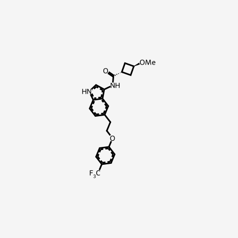 CO[C@H]1C[C@H](C(=O)Nc2c[nH]c3ccc(CCOc4ccc(C(F)(F)F)cc4)cc23)C1